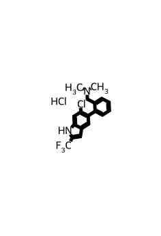 CN(C)Cc1ccccc1-c1cc2cc(C(F)(F)F)[nH]c2cc1Cl.Cl